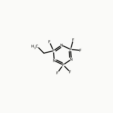 CCP1(F)=NP(F)(F)=NP(F)(F)=N1